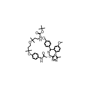 COc1ccc2c(c1)C(c1ccc(Cl)cc1)=N[C@@H](CC(=O)Nc1ccc(OC(C)(C)CCOC(C)(C)CCNC(=O)OC(C)(C)C)cc1)c1nnc(C)n1-2